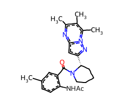 CC(=O)Nc1ccc(C)cc1C(=O)N1CCCC[C@H]1c1cc2nc(C)c(C)c(C)n2n1